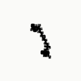 CC(C)(CCCCOCCCCC(C)(C)CS(C)(=O)=O)CCS(N)(=O)=O